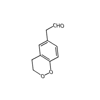 O=CCc1ccc2c(c1)CCOO2